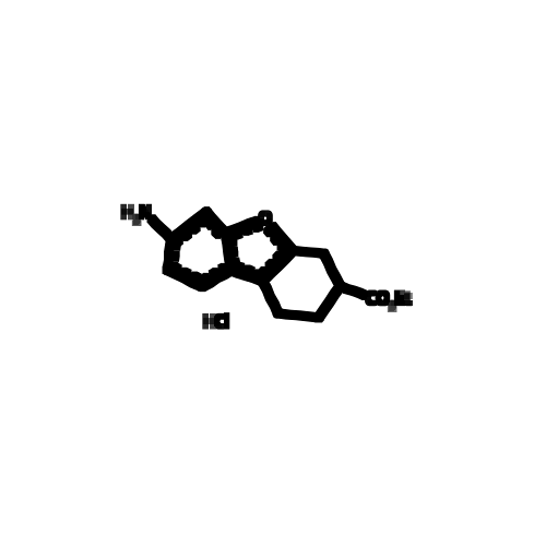 CCOC(=O)C1CCc2c(oc3cc(N)ccc23)C1.Cl